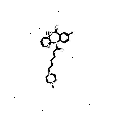 Cc1ccc2c(c1)C(=O)Nc1cccnc1N2C(=O)CCCCCN1CCN(C)CC1